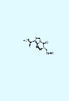 COCn1nnc2c(C(N)=S)ncn2c1=O